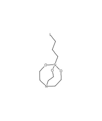 ICCC[Si]12OCCN(CCO1)CCO2